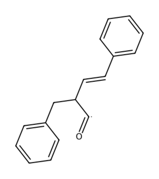 O=[C]C(C=Cc1ccccc1)Cc1ccccc1